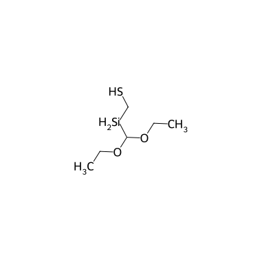 CCOC(OCC)[SiH2]CS